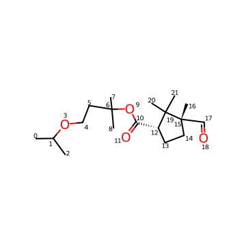 CC(C)OCCC(C)(C)OC(=O)[C@H]1CC[C@@](C)(C=O)C1(C)C